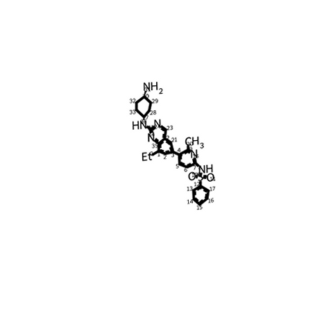 CCc1cc(-c2ccc(NS(=O)(=O)c3ccccc3)nc2C)cc2cnc(N[C@H]3CC[C@H](N)CC3)nc12